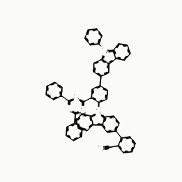 N#Cc1ccccc1-c1ccc2c(c1)c1ccccc1n2-c1ccc(-c2ccc3c(c2)c2ccccc2n3-c2ccccc2)cc1-c1nc(-c2ccccc2)nc(-c2ccccc2)n1